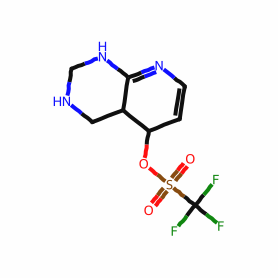 O=S(=O)(OC1C=CN=C2NCNCC21)C(F)(F)F